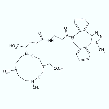 CN1CCN(C)CCN(C(CCC(=O)NCCC(=O)N2Cc3ccccc3C3C(N=NN3C)c3ccccc32)C(=O)O)CCN(CC(=O)O)CC1